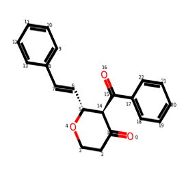 O=C1CCO[C@H](/C=C/c2ccccc2)[C@H]1C(=O)c1ccccc1